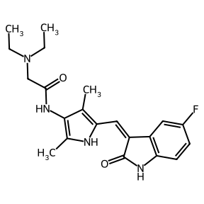 CCN(CC)CC(=O)Nc1c(C)[nH]c(/C=C2\C(=O)Nc3ccc(F)cc32)c1C